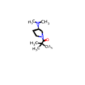 CN(C)[C@@H]1CCN(C(=O)C(C)(C)C)C1